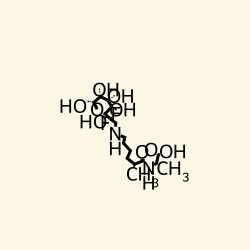 C[C@H](NC(=O)[C@@H](C)CCCCNCC(F)(F)C1(O)O[C@H](CO)[C@H](O)[C@H](O)[C@H]1O)C(=O)O